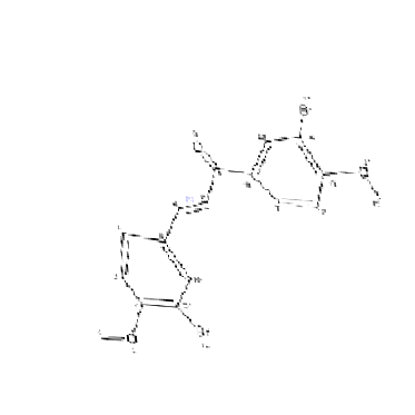 COc1ccc(/C=C/C(=O)c2ccc(OC)c(Br)c2)cc1Br